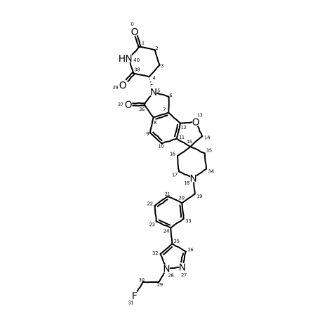 O=C1CC[C@H](N2Cc3c(ccc4c3OCC43CCN(Cc4cccc(-c5cnn(CCF)c5)c4)CC3)C2=O)C(=O)N1